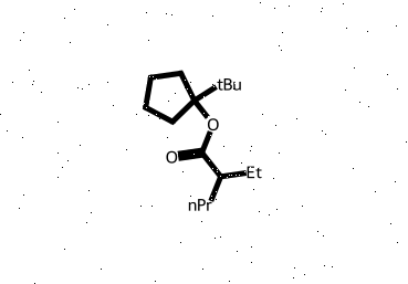 CCCC(CC)C(=O)OC1(C(C)(C)C)CCCC1